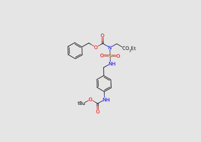 CCOC(=O)CN(C(=O)OCc1ccccc1)S(=O)(=O)NCc1ccc(NC(=O)OC(C)(C)C)cc1